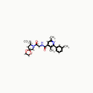 Cc1cccc(-c2nc(C)cc(C(=O)NCC(=O)N3CC4(CC3C(=O)O)OCCO4)c2C)c1